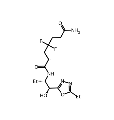 CCc1nnc([C@@H](O)[C@H](CC)NC(=O)[CH]CC(F)(F)CCC(N)=O)o1